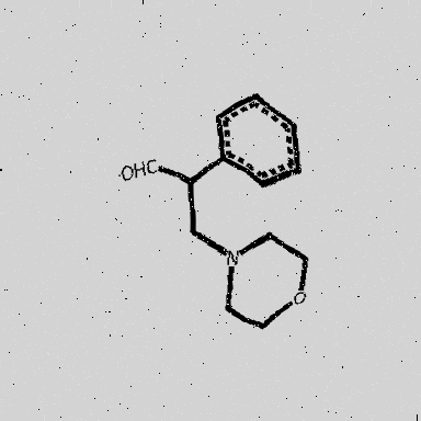 O=[C]C(CN1CCOCC1)c1ccccc1